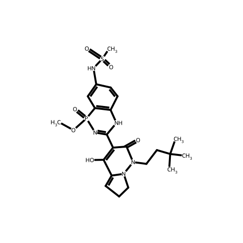 COP1(=O)N=C(C2=C(O)C3=CCCN3N(CCC(C)(C)C)C2=O)Nc2ccc(NS(C)(=O)=O)cc21